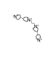 C[n+]1ccc(-c2cc[n+](CCC[n+]3ccc(-c4cc[n+](C)cc4)cc3)cc2)cc1